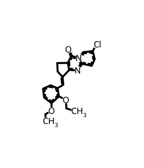 CCOc1cccc(C=C2CCc3c2nc2ccc(Cl)cn2c3=O)c1OCC